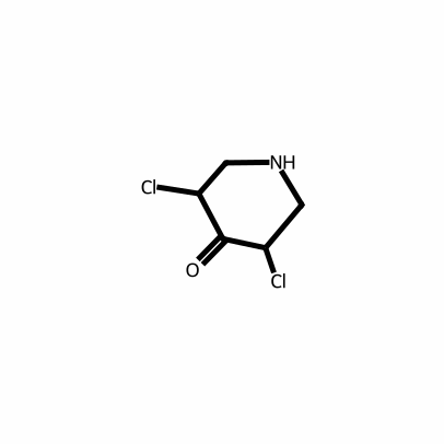 O=C1C(Cl)CNCC1Cl